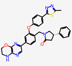 Cc1nnc(-c2ccc(Oc3cc(-c4cnc5c(n4)OCCN5)ccc3CN3C[C@H](c4ccccc4)CC3=O)cc2)s1